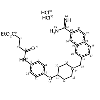 CCOC(=O)CCC(=O)Nc1ccc(OC2CCN(Cc3ccc4ccc(C(=N)N)cc4c3)CC2)cc1.Cl.Cl